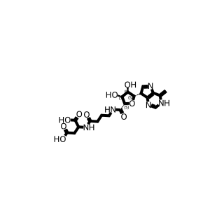 C=C1NC=NC2=C1N=CC2[C@@H]1O[C@H](C(=O)NCCCC(=O)NC(CC(=O)O)C(=O)O)[C@@H](O)[C@H]1O